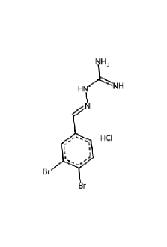 Cl.N=C(N)NN=Cc1ccc(Br)c(Br)c1